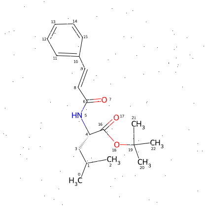 CC(C)C[C@H](NC(=O)/C=C/c1ccccc1)C(=O)OC(C)(C)C